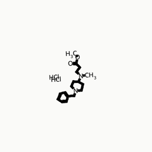 COC(=O)CCN(C)C1CCN(Cc2ccccc2)CC1.Cl.Cl